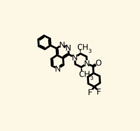 C[C@@H]1CN(C(=O)C2CCC(F)(F)CC2)[C@@H](C)CN1c1nnc(-c2ccccc2)c2ccncc12